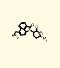 C=C1CCC(N2C(=O)c3cccc4c(CN)ccc2c34)C(=O)N1